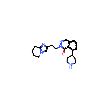 O=c1c2c(C3CCNCC3)cccc2cnn1CCc1cn2c(n1)CCCC2